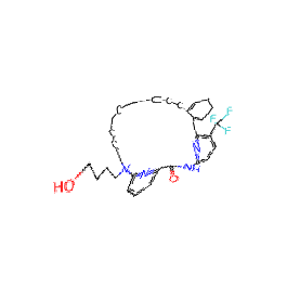 O=C1Nc2ccc(C(F)(F)F)c(n2)C2=CCCC=C2CCCCCCCCCN(CCCCO)c2cccc1n2